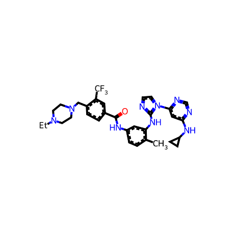 CCN1CCN(Cc2ccc(C(=O)Nc3ccc(C)c(Nc4nccn4-c4cc(NC5CC5)ncn4)c3)cc2C(F)(F)F)CC1